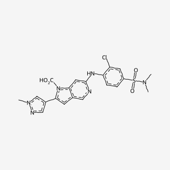 CN(C)S(=O)(=O)c1ccc(Nc2cc3c(cn2)cc(-c2cnn(C)c2)n3C(=O)O)c(Cl)c1